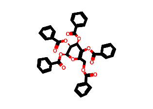 O=C(OCC1=C(OC(=O)c2ccccc2)[C@H](OC(=O)c2ccccc2)[C@@H](OC(=O)c2ccccc2)[C@H](OC(=O)c2ccccc2)O1)c1ccccc1